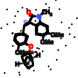 COc1cc2c(cc1OC)N(C)C(=O)/C2=C/c1ccc(OC)c(O[C@H]2C[C@@H]3CC[C@H]2C3)c1